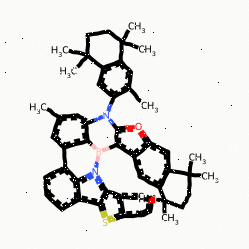 Cc1cc2c3c(c1)N(c1cc4c(cc1C)C(C)(C)CCC4(C)C)c1oc4cc5c(cc4c1B3n1c3c-2cccc3c2sc3ccccc3c21)C(C)(C)CCC5(C)C